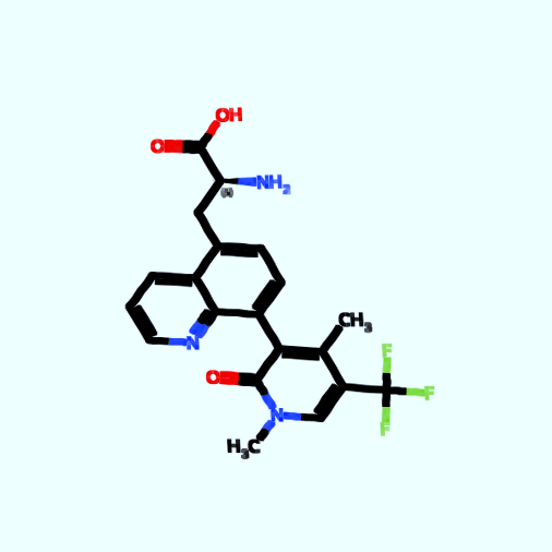 Cc1c(C(F)(F)F)cn(C)c(=O)c1-c1ccc(C[C@H](N)C(=O)O)c2cccnc12